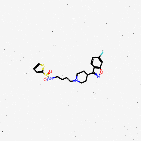 O=S(=O)(NCCCCN1CCC(c2noc3cc(F)ccc23)CC1)c1cccs1